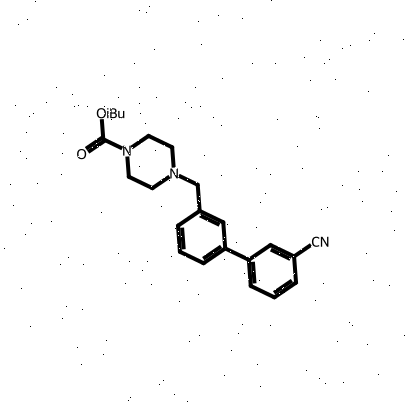 CC(C)COC(=O)N1CCN(Cc2cccc(-c3cccc(C#N)c3)c2)CC1